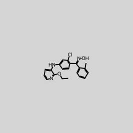 CCOc1ncccc1Nc1ccc(C(=NO)c2ccccc2C)c(Cl)c1